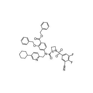 N#Cc1cc(S(=O)(=O)N2CC[C@@H]2C(=O)N(Cc2ccc(C3CCCCC3)cn2)c2ccc(C(=O)OCc3ccccc3)c(OCc3ccccc3)c2)cc(F)c1F